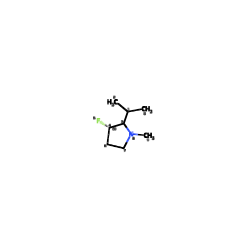 CC(C)C1[C@@H](F)CCN1C